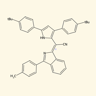 Cc1ccc(C2=N/C(=C(/C#N)c3[nH]c(-c4ccc(C(C)(C)C)cc4)cc3-c3ccc(C(C)(C)C)cc3)c3ccccc32)cc1